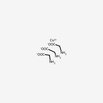 NCC(=O)[O-].NCC(=O)[O-].NCC(=O)[O-].[Co+3]